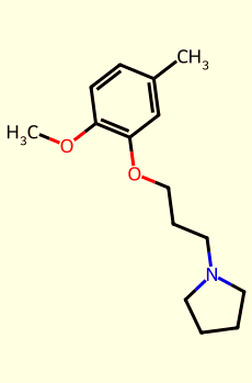 COc1ccc(C)cc1OCCCN1CCCC1